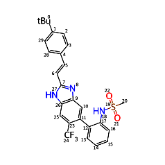 CC(C)(C)c1ccc(C=Cc2nc3cc(-c4ccccc4NS(C)(=O)=O)c(C(F)(F)F)cc3[nH]2)cc1